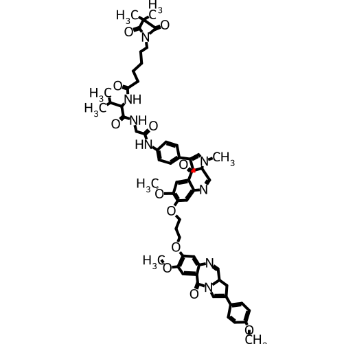 COc1ccc(C2=CN3C(=O)c4cc(OC)c(OCCCOc5cc(/N=C\C6CC(c7ccc(NC(=O)CNC(=O)C(NC(=O)CCCCCN8C(=O)C(C)(C)C8=O)C(C)C)cc7)=CN6C)c(C=O)cc5OC)cc4N=CC3C2)cc1